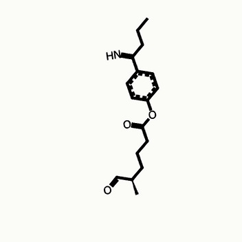 CCCC(=N)c1ccc(OC(=O)CCC[C@@H](C)C=O)cc1